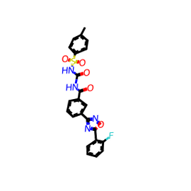 Cc1ccc(S(=O)(=O)NC(=O)NC(=O)c2cccc(-c3noc(-c4ccccc4F)n3)c2)cc1